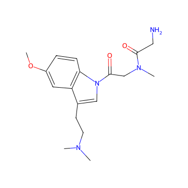 COc1ccc2c(c1)c(CCN(C)C)cn2C(=O)CN(C)C(=O)CN